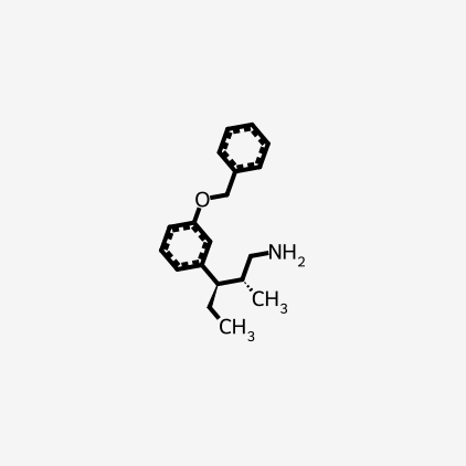 CC[C@@H](c1cccc(OCc2ccccc2)c1)[C@@H](C)CN